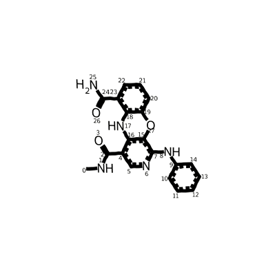 CNC(=O)c1cnc(Nc2ccccc2)c2c1Nc1c(cccc1C(N)=O)O2